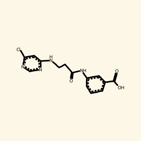 O=C(CCNc1cc(Cl)ncn1)Nc1cccc(C(=O)O)c1